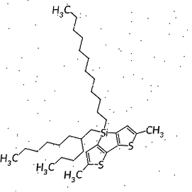 CCCCCCCCCCCC[Si]1(CC(CCCC)CCCCCC)c2cc(C)sc2-c2sc(C)cc21